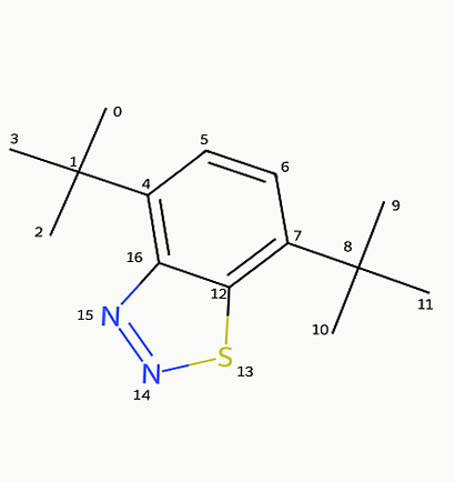 CC(C)(C)c1ccc(C(C)(C)C)c2snnc12